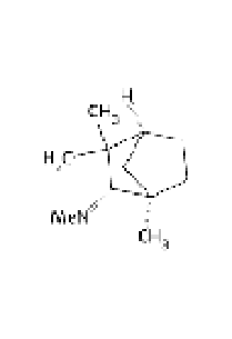 CN[C@@H]1C(C)(C)[C@H]2CC[C@]1(C)C2